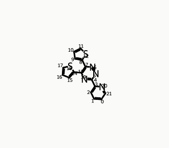 c1ccc(-c2nnc(-c3cccs3)c(-c3cccs3)n2)nc1